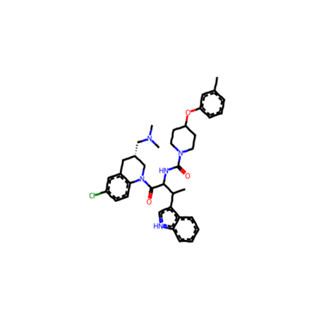 Cc1cccc(OC2CCN(C(=O)NC(C(=O)N3C[C@@H](CN(C)C)Cc4cc(Cl)ccc43)C(C)c3c[nH]c4ccccc34)CC2)c1